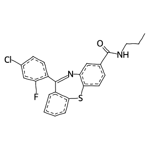 CCCNC(=O)c1ccc2c(c1)N=C(c1ccc(Cl)cc1F)c1ccccc1S2